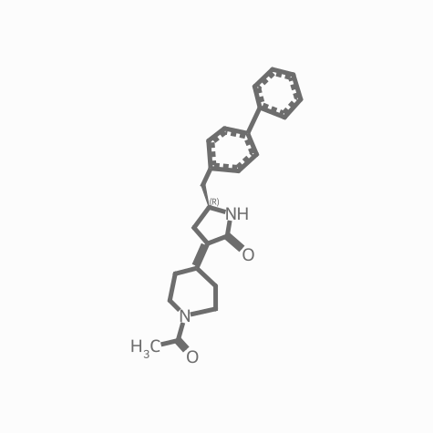 CC(=O)N1CCC(=C2C[C@@H](Cc3ccc(-c4ccccc4)cc3)NC2=O)CC1